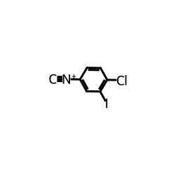 [C-]#[N+]c1ccc(Cl)c(I)c1